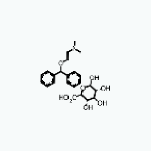 CN(C)CCOC(c1ccccc1)c1ccccc1.O=C(O)[C@H]1OC(O)[C@H](O)[C@@H](O)[C@@H]1O